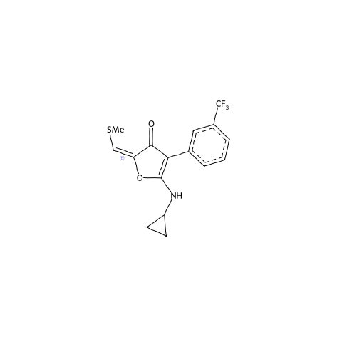 CS/C=C1/OC(NC2CC2)=C(c2cccc(C(F)(F)F)c2)C1=O